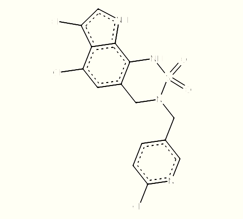 O=S1(=O)Nc2c(cc(Cl)c3c(Cl)c[nH]c23)CN1Cc1ccc(Cl)nc1